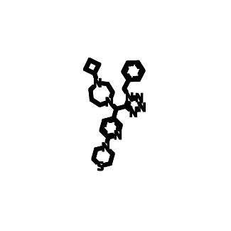 c1ccc(Cn2nnnc2C(c2ccc(N3CCSCC3)nc2)N2CCCN(C3CCC3)CC2)cc1